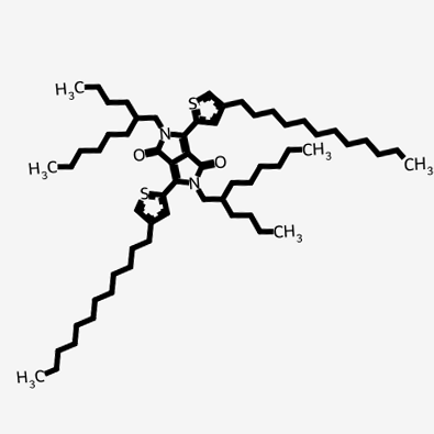 CCCCCCCCCCCCc1csc(C2=C3C(=O)N(CC(CCCC)CCCCCC)C(c4cc(CCCCCCCCCCCC)cs4)=C3C(=O)N2CC(CCCC)CCCCCC)c1